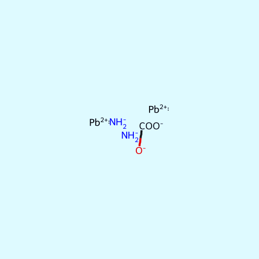 O=C([O-])[O-].[NH2-].[NH2-].[Pb+2].[Pb+2]